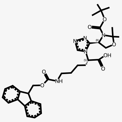 CC(C)(C)OC(=O)N1[C@H](c2nncn2[C@@H](CCCCNC(=O)OCC2c3ccccc3-c3ccccc32)C(=O)O)COC1(C)C